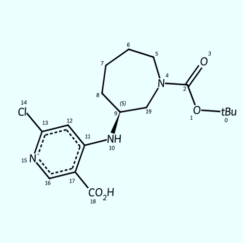 CC(C)(C)OC(=O)N1CCCC[C@H](Nc2cc(Cl)ncc2C(=O)O)C1